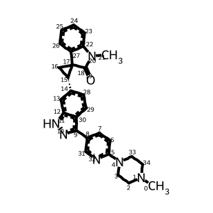 CN1CCN(c2ccc(-c3n[nH]c4cc([C@@H]5CC56C(=O)N(C)c5ccccc56)ccc34)cn2)CC1